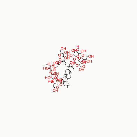 CC[C@H](C)[C@H](C[C@H](O)CC(=O)OC1CC(O)OC(OC(=O)[C@]23CCC(C)(C)CC2C2=CCC4[C@@]5(C)CC[C@H](OC6OC(C(=O)O)C(O)C(OC7OCC(O)C(O)C7O)C6OC6OC(CO)C(O)C(O)C6O)[C@@](C)(CO)C5CC[C@@]4(C)[C@]2(C)C[C@H]3O)C1OC1OC(C)C(OC2OCC(O)C(OC)C2O)C(O)C1O)OC(=O)C[C@@H](O)C[C@H](OC1OC(CO)C(O)C1O)[C@@H](C)CC